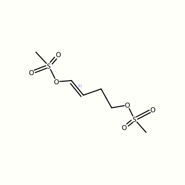 CS(=O)(=O)O/C=C/CCOS(C)(=O)=O